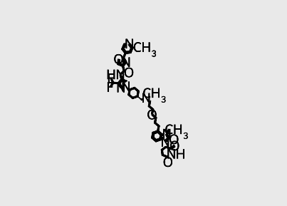 Cc1cc(-c2nc(C(=O)Nc3cn([C@H]4CC[C@H](CN(C)CCCOCCCc5cccc6c5n(C)c(=O)n6C5CCC(=O)NC5=O)CC4)nc3C(F)F)co2)ccn1